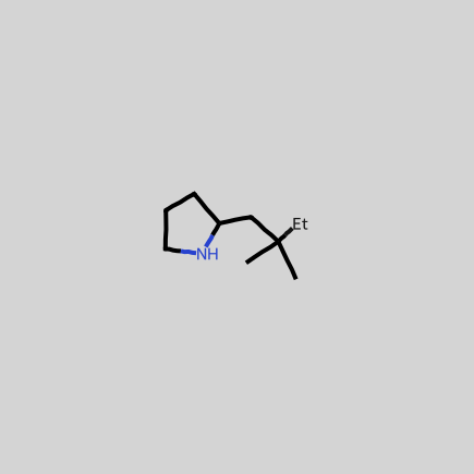 CCC(C)(C)CC1CCCN1